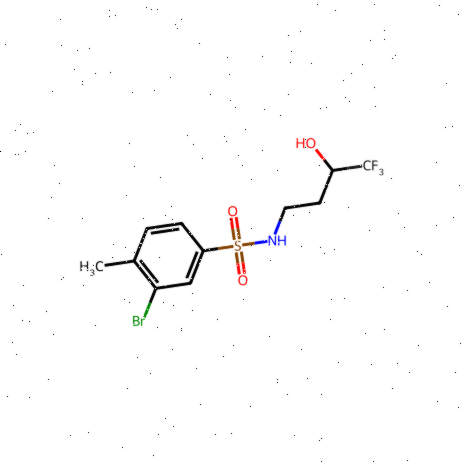 Cc1ccc(S(=O)(=O)NCCC(O)C(F)(F)F)cc1Br